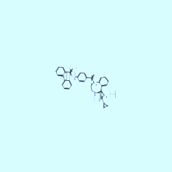 O=C(Nc1ccc(C(=O)N2CCc3nc(C4CC4)[nH]c3-c3ccccc32)cc1)c1ccccc1-c1ccccc1